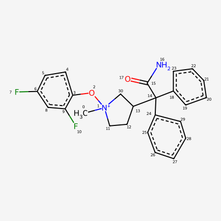 C[N+]1(Oc2ccc(F)cc2F)CCC(C(C(N)=O)(c2ccccc2)c2ccccc2)C1